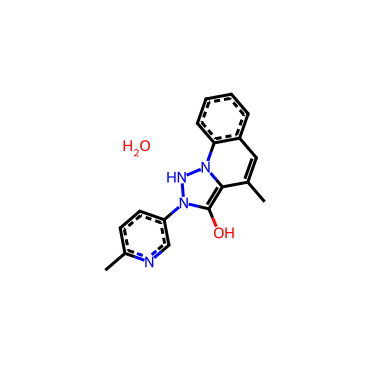 CC1=Cc2ccccc2N2NN(c3ccc(C)nc3)C(O)=C12.O